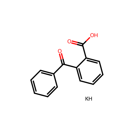 O=C(O)c1ccccc1C(=O)c1ccccc1.[KH]